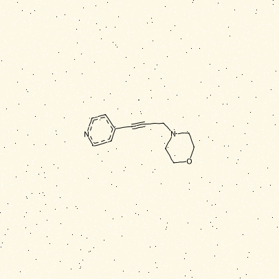 C(#Cc1c[c]ncc1)CN1CCOCC1